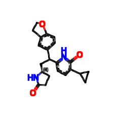 O=C1CC[C@H](CC(c2ccc3c(c2)CCO3)c2ccc(C3CC3)c(=O)[nH]2)N1